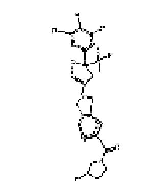 O=C(c1cc2c(cn1)CN(C1=NOC(c3cc(Cl)c(F)c(Cl)c3)(C(F)(F)F)C1)C2)N1CCC(F)C1